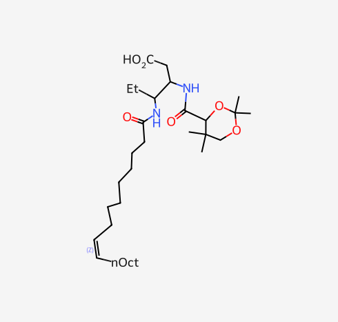 CCCCCCCC/C=C\CCCCCCCC(=O)NC(CC)C(CC(=O)O)NC(=O)C1OC(C)(C)OCC1(C)C